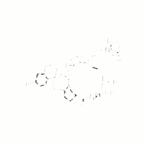 C[C@@H]1[C@@H](C)C/C=C/[C@H](OCCN2C[C@@H]3C[C@H]2CO3)[C@@H]2CC[C@H]2CN2C[C@@]3(CCCc4cc(Cl)ccc43)COc3ccc(cc32)C(=O)NS1(=O)=O